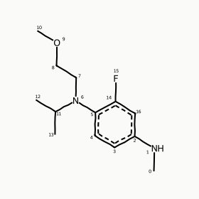 CNc1ccc(N(CCOC)C(C)C)c(F)c1